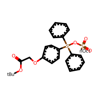 CCCCCCCCS(=O)(=O)OS(c1ccccc1)(c1ccccc1)c1ccc(OCC(=O)OC(C)(C)C)cc1